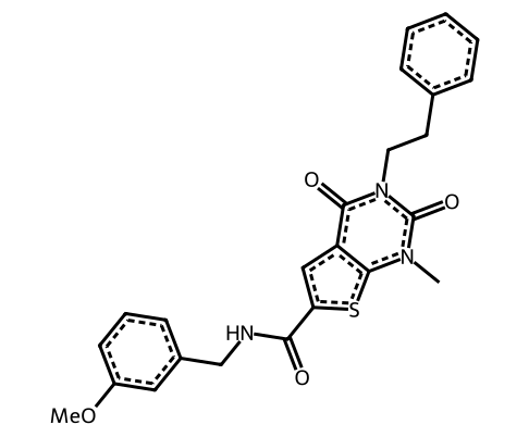 COc1cccc(CNC(=O)c2cc3c(=O)n(CCc4ccccc4)c(=O)n(C)c3s2)c1